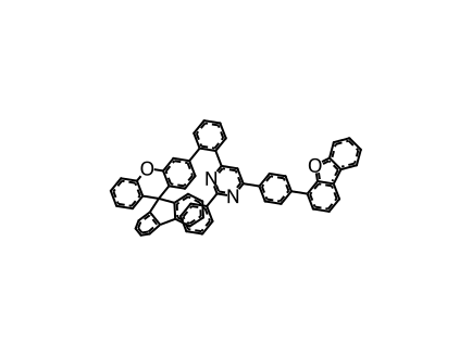 c1ccc(-c2nc(-c3ccc(-c4cccc5c4oc4ccccc45)cc3)cc(-c3ccccc3-c3ccc4c(c3)Oc3ccccc3C43c4ccccc4-c4ccccc43)n2)cc1